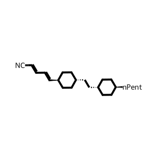 CCCCC[C@H]1CC[C@H](CC[C@H]2CC[C@H](C=CC=CC#N)CC2)CC1